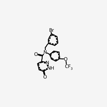 O=C(c1ccc(=O)[nH]n1)N(Cc1cccc(Br)c1)c1ccc(OC(F)(F)F)cc1